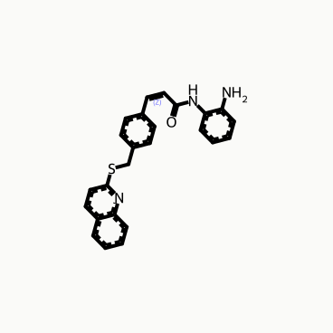 Nc1ccccc1NC(=O)/C=C\c1ccc(CSc2ccc3ccccc3n2)cc1